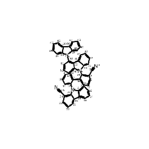 N#Cc1cccc(-c2ccccc2-n2c3ccccc3c3cccc(C#N)c32)c1-n1c2ccccc2c2c(-n3c4ccccc4c4ccccc43)cccc21